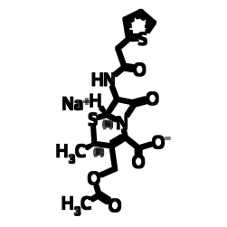 CC(=O)OCC1=C(C(=O)[O-])N2C(=O)C(NC(=O)Cc3cccs3)[C@H]2S[C@@H]1C.[Na+]